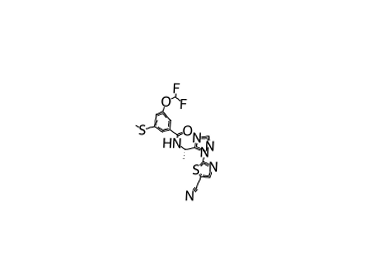 CSc1cc(OC(F)F)cc(C(=O)N[C@@H](C)c2ncnn2-c2ncc(C#N)s2)c1